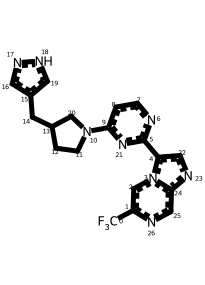 FC(F)(F)c1cn2c(-c3nccc(N4CCC(Cc5cn[nH]c5)C4)n3)cnc2cn1